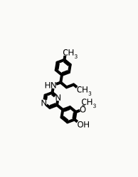 CCCC(Nc1cncc(-c2ccc(O)c(OC)c2)n1)c1ccc(C)cc1